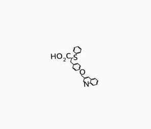 O=C(O)C(Cc1ccc(OCc2cnc3ccccc3c2)cc1)Sc1ccccc1